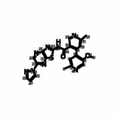 COc1cnc(C)cc1-c1cc(C)ncc1C(=O)Nc1nc2ncc(-n3cccn3)nc2s1